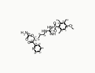 COc1cc(C)c(S(=O)(=O)NC(=N)NCCC[C@@H](OC(N)=O)C(=O)c2ccccn2)c(C)c1C